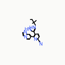 CCC(C)(C)CN/C=C(\C=N)c1ccc(C#N)nc1-c1ccn2ccnc2c1